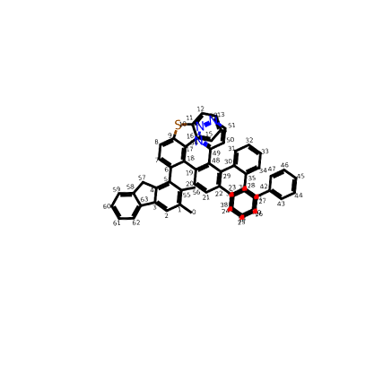 Cc1cc2c(c(-c3ccc4sc5ccccc5c4c3-c3ccc(-c4ccccc4)c(-c4ccccc4-c4ccccc4-c4ccccc4)c3-c3ccnnn3)c1C)Cc1ccccc1-2